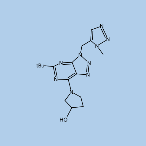 Cn1nncc1Cn1nnc2c(N3CCC(O)C3)nc(C(C)(C)C)nc21